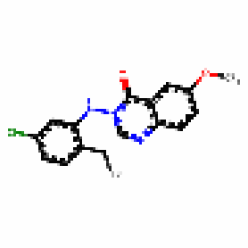 CC(C)Cc1ccc(Cl)cc1Nn1cnc2ccc(OC(F)(F)F)cc2c1=O